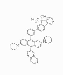 CC1(C)c2ccccc2-c2ccc(-c3cccc(-c4c5ccc(N6CCCCC6)cc5c(-c5ccc6ccccc6c5)c5ccc(N6CCCCC6)cc45)c3)cc21